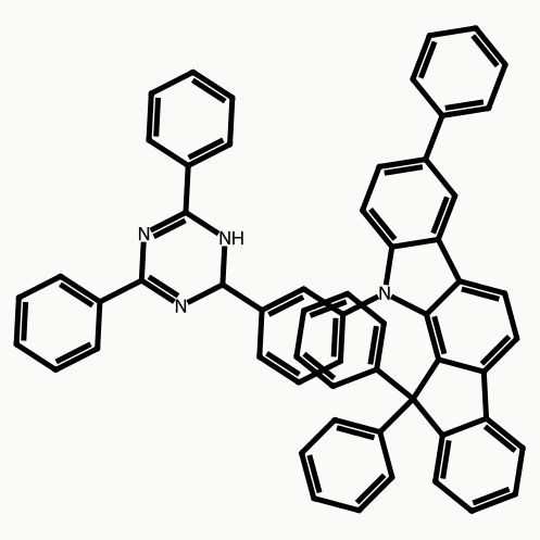 c1ccc(C2=NC(c3cccc(-n4c5ccc(-c6ccccc6)cc5c5ccc6c(c54)C(c4ccccc4)(c4ccccc4)c4ccccc4-6)c3)NC(c3ccccc3)=N2)cc1